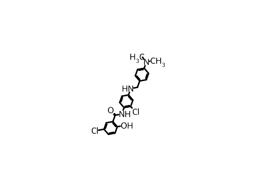 CN(C)c1ccc(CNc2ccc(NC(=O)c3cc(Cl)ccc3O)c(Cl)c2)cc1